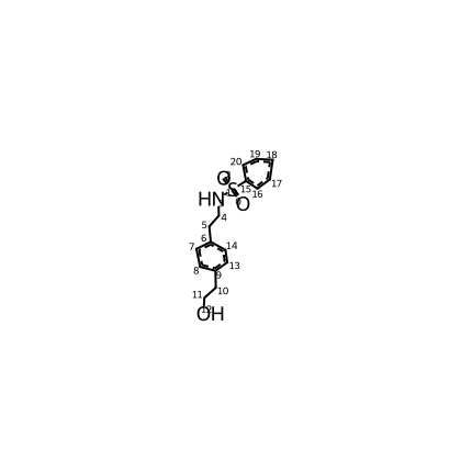 O=S(=O)(NCCc1ccc(CCO)cc1)c1ccccc1